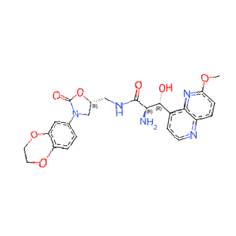 COc1ccc2nccc([C@@H](O)[C@@H](N)C(=O)NC[C@@H]3CN(c4ccc5c(c4)OCCO5)C(=O)O3)c2n1